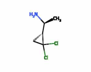 C[C@H](N)[C@H]1CC1(Cl)Cl